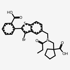 CCC(=O)N(Cc1ccc2sc(-c3ccccc3C(=O)O)c(Br)c2c1)CC1(C(=O)O)CCCC1